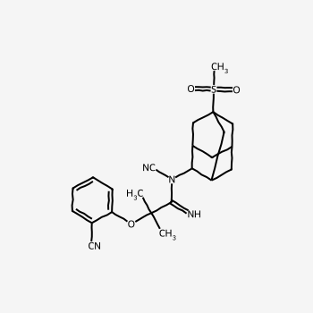 CC(C)(Oc1ccccc1C#N)C(=N)N(C#N)C1C2CC3CC1CC(S(C)(=O)=O)(C3)C2